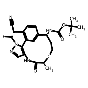 C[C@@H]1CCC[C@H](NC(=O)OC(C)(C)C)c2ccc(CC#N)c(c2)-c2c(cnn2C(F)F)NC1=O